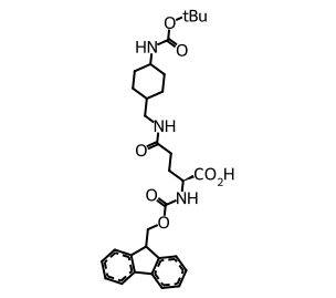 CC(C)(C)OC(=O)NC1CCC(CNC(=O)CC[C@H](NC(=O)OCC2c3ccccc3-c3ccccc32)C(=O)O)CC1